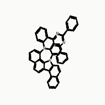 c1ccc(-c2nc(-c3ccccc3)nc(-c3ccccc3-n3c4cccc5ccc6c7c8ccccc8ccc7n(c7ccccc73)c6c54)n2)cc1